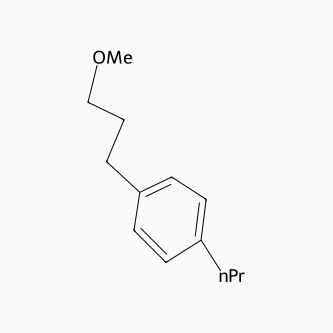 [CH2]CCc1ccc(CCCOC)cc1